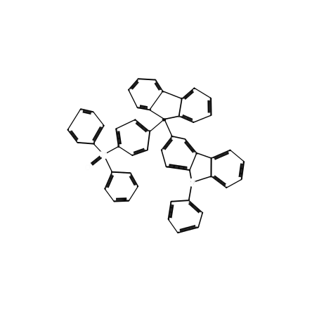 O=P(c1ccccc1)(c1ccccc1)c1ccc(C2(c3ccc4c(c3)c3ccccc3n4-c3ccccc3)c3ccccc3-c3ccccc32)cc1